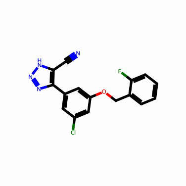 N#Cc1[nH]nnc1-c1cc(Cl)cc(OCc2ccccc2F)c1